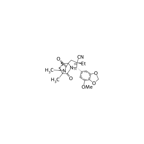 CC[C@]1(C#N)CC23SSC(C)(C(=O)N2[C@H]1c1cc(OC)c2c(c1)OCO2)N(C)C3=O